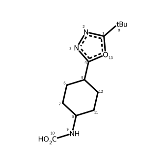 CC(C)(C)c1nnc(C2CCC(NC(=O)O)CC2)o1